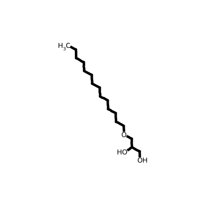 CCCCCCCCCCCCCCOCC(O)CO